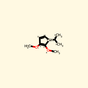 COC1=C(OC)[SiH](C(C)C)C=C1